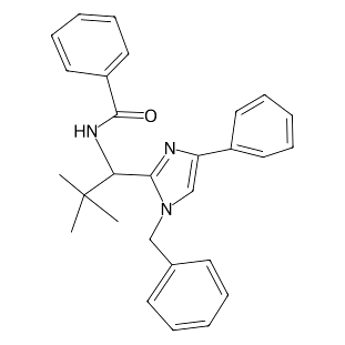 CC(C)(C)C(NC(=O)c1ccccc1)c1nc(-c2ccccc2)cn1Cc1ccccc1